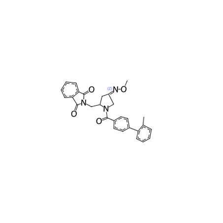 CO/N=C1/CC(CN2C(=O)c3ccccc3C2=O)N(C(=O)c2ccc(-c3ccccc3C)cc2)C1